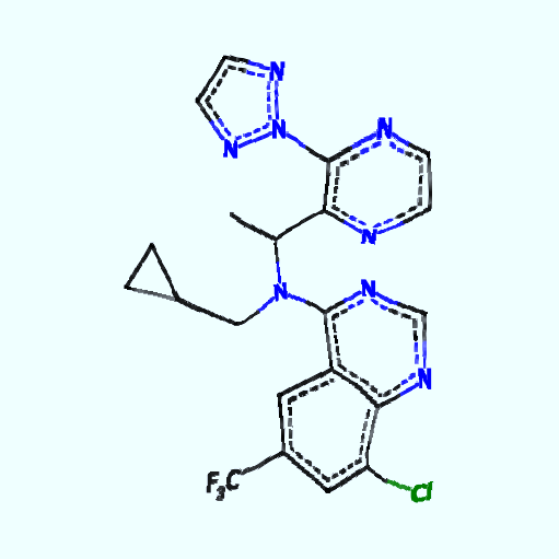 CC(c1nccnc1-n1nccn1)N(CC1CC1)c1ncnc2c(Cl)cc(C(F)(F)F)cc12